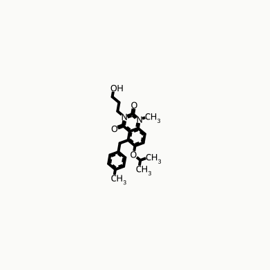 Cc1ccc(Cc2c(OC(C)C)ccc3c2c(=O)n(CCCO)c(=O)n3C)cc1